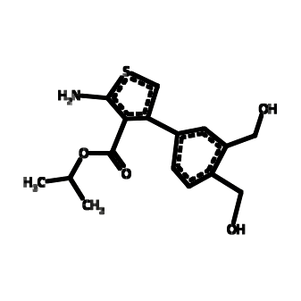 CC(C)OC(=O)c1c(-c2ccc(CO)c(CO)c2)csc1N